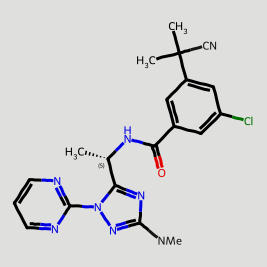 CNc1nc([C@H](C)NC(=O)c2cc(Cl)cc(C(C)(C)C#N)c2)n(-c2ncccn2)n1